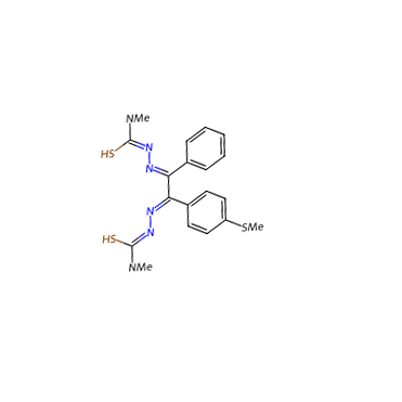 CN/C(S)=N/N=C(/C(=N/N=C(\S)NC)c1ccc(SC)cc1)c1ccccc1